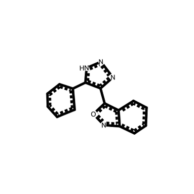 c1ccc(-c2[nH]nnc2-c2onc3ccccc23)cc1